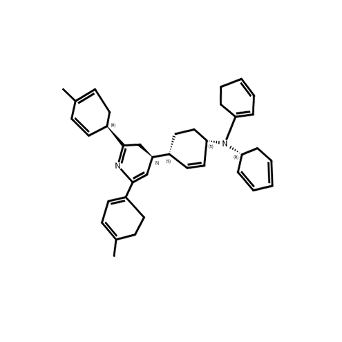 CC1=CC[C@@H](C2=NC(C3=CC=C(C)CC3)=C[C@H]([C@H]3C=C[C@@H](N(C4=CC=CCC4)[C@H]4C=CC=CC4)CC3)C2)C=C1